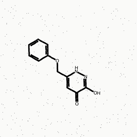 O=c1cc(COc2ccccc2)[nH]nc1O